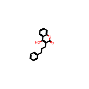 O=c1oc2ccccc2c(O)c1CCCc1ccccc1